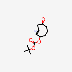 CC(C)(C)OC(=O)OC1/C=C/CC(=O)CCC1